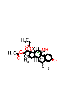 CCC(=O)O[C@]1(C(=O)COC(C)=O)[C@@H](C)C[C@H]2[C@@H]3C[C@H](C)C4=CC(=O)CC[C@]4(C)[C@@]3(F)[C@@H](O)C[C@@]21C